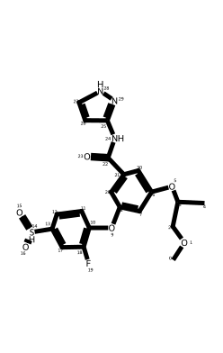 COCC(C)Oc1cc(Oc2ccc([SH](=O)=O)cc2F)cc(C(=O)Nc2cc[nH]n2)c1